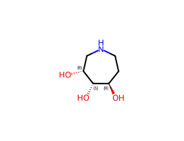 O[C@H]1[C@H](O)CCNC[C@H]1O